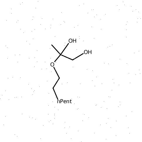 CCCCCCCOC(C)(O)CO